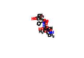 C=C1C=CN([C@]2(C#N)O[C@H](COP(=O)(NCc3ccccc3)OCCSC(=O)C(C)(C)CO)[C@@H](O)[C@@]2(C)O)C(=O)N1